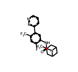 CC1CC2CC(C1)N2C(=O)Nc1cc(-c2cccnn2)c(C(F)(F)F)cc1F